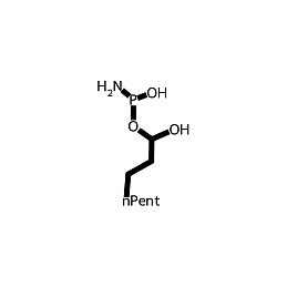 CCCCCCCC(O)OP(N)O